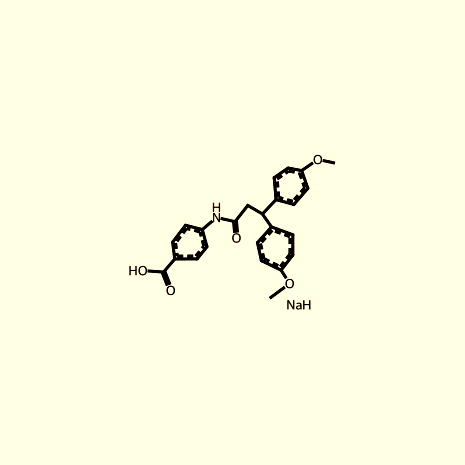 COc1ccc(C(CC(=O)Nc2ccc(C(=O)O)cc2)c2ccc(OC)cc2)cc1.[NaH]